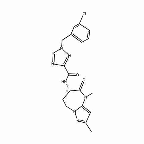 Cc1cc2n(n1)CC[C@H](NC(=O)c1ncn(Cc3cccc(Cl)c3)n1)C(=O)N2C